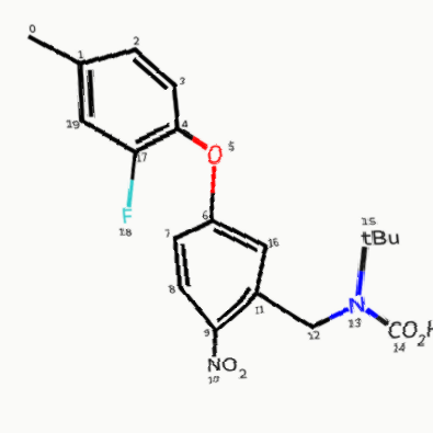 Cc1ccc(Oc2ccc([N+](=O)[O-])c(CN(C(=O)O)C(C)(C)C)c2)c(F)c1